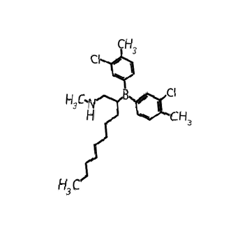 CCCCCCCCC(CNC)B(c1ccc(C)c(Cl)c1)c1ccc(C)c(Cl)c1